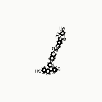 O=C1CCC(N2C(=O)c3cc4c(cc3C2=O)CN(CC(=O)N2CCC3(CC2)CCN(c2ccc([C@@H]5c6ccc(O)cc6CC[C@@H]5c5ccc(F)cc5)cn2)CC3)C4)C(=O)N1